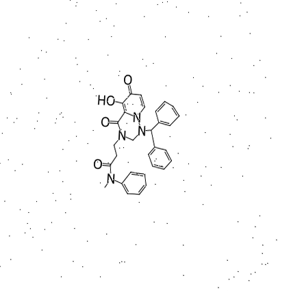 CN(C(=O)CCN1CN(C(c2ccccc2)c2ccccc2)n2ccc(=O)c(O)c2C1=O)c1ccccc1